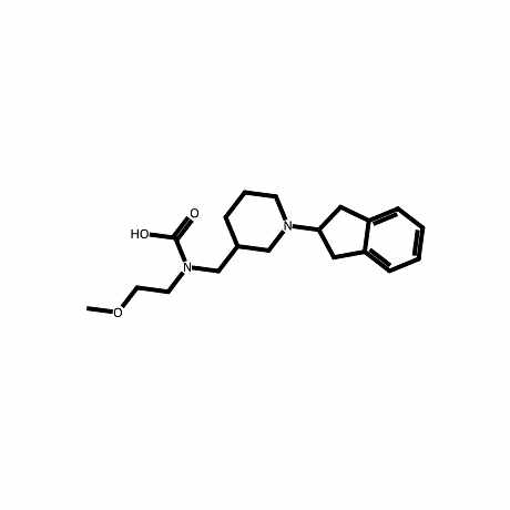 COCCN(CC1CCCN(C2Cc3ccccc3C2)C1)C(=O)O